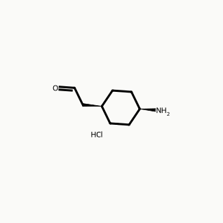 Cl.N[C@H]1CC[C@@H](CC=O)CC1